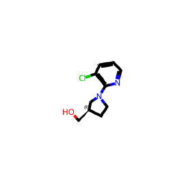 OC[C@@H]1CCN(c2ncc[c]c2Cl)C1